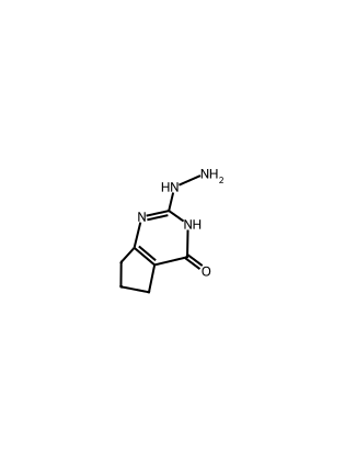 NNc1nc2c(c(=O)[nH]1)CCC2